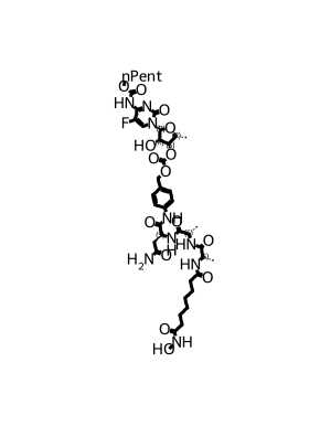 CCCCCOC(=O)Nc1nc(=O)n([C@@H]2O[C@H](C)[C@@H](OC(=O)OCc3ccc(NC(=O)[C@H](CC(N)=O)NC(=O)[C@H](C)NC(=O)[C@H](C)NC(=O)CCCCCCC(=O)NO)cc3)[C@H]2O)cc1F